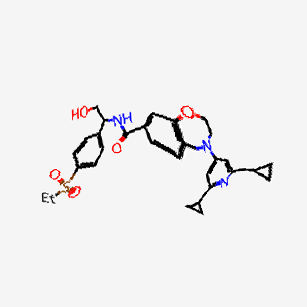 CCS(=O)(=O)c1ccc(C(CO)NC(=O)c2ccc3c(c2)OCCN3c2cc(C3CC3)nc(C3CC3)c2)cc1